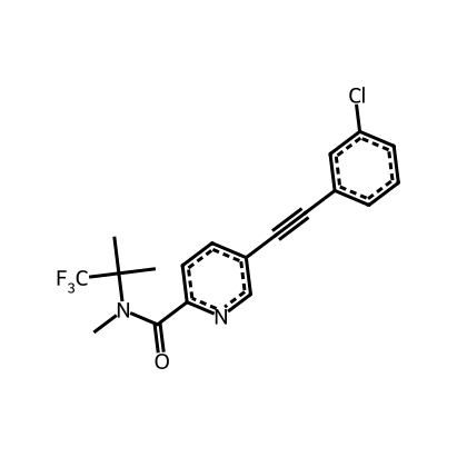 CN(C(=O)c1ccc(C#Cc2cccc(Cl)c2)cn1)C(C)(C)C(F)(F)F